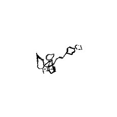 O=C(NCCc1ccc(Cl)cc1)C1(c2ccccc2F)CCCCC1